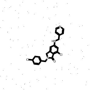 O=C1c2c(Cl)cc(NCc3ccncc3)cc2CN1CC1=CCC(Cl)C=C1